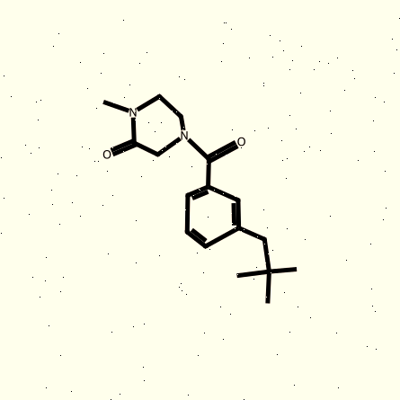 CN1CCN(C(=O)c2cccc(CC(C)(C)C)c2)CC1=O